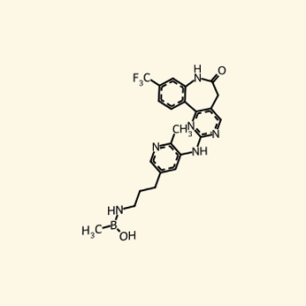 CB(O)NCCCc1cnc(C)c(Nc2ncc3c(n2)-c2ccc(C(F)(F)F)cc2NC(=O)C3)c1